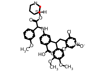 COc1cccc(C(Nc2ccc(C(=O)O)c(C(Cc3c(Cl)c[n+]([O-])cc3Cl)c3ccc(OC)c(OC)c3)c2)C(=O)O[C@H]2CN3CCC2CC3)c1